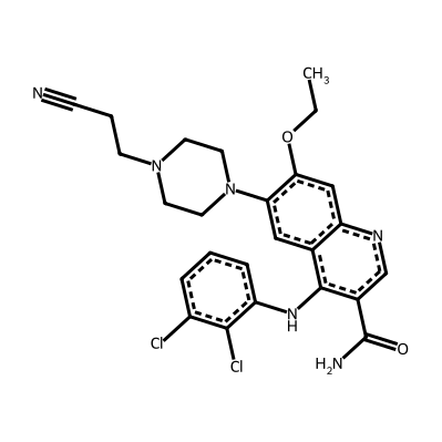 CCOc1cc2ncc(C(N)=O)c(Nc3cccc(Cl)c3Cl)c2cc1N1CCN(CCC#N)CC1